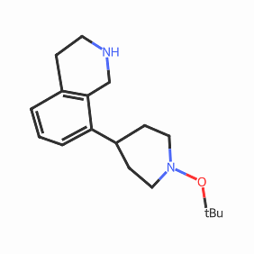 CC(C)(C)ON1CCC(c2cccc3c2CNCC3)CC1